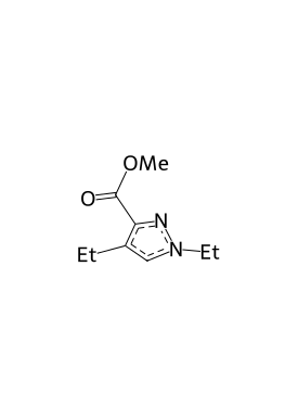 CCc1cn(CC)nc1C(=O)OC